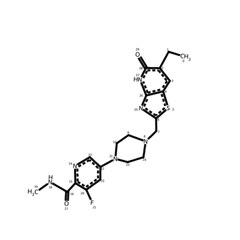 CCc1cc2sc(CN3CCN(c4cnc(C(=O)NC)c(F)c4)CC3)nc2[nH]c1=O